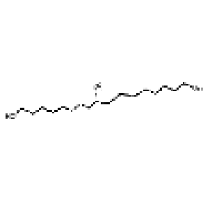 OCCCCCCCCC(O)CCCCCCCCO